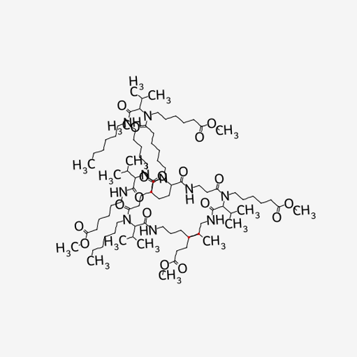 CCCCCCNC(=O)C(C(C)C)N(CCCCCC(=O)OC)C(=O)CCCCCN(C(=O)CCCC(=O)N(CCCCCC)C(C(=O)NCCCCCC)C(C)C)C(CCCC(=O)N(CCCCCC)C(C(=O)NCCCCCC(=O)OC)C(C)C)C(=O)NCCC(=O)N(CCCCCC(=O)OC)C(C(=O)NCCCCCC(=O)OC)C(C)C